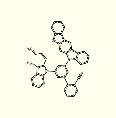 C=C/C=C\c1c(C)c2ccccc2n1-c1cc(-c2ccccc2C#N)cc(-n2c3ccccc3c3cc4c(cc32)sc2ccccc24)c1